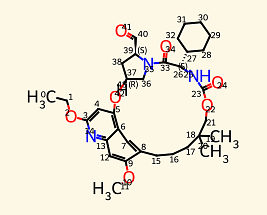 CCOc1cc2c3cc(c(OC)cc3n1)CCCC(C)(C)COC(=O)N[C@@H](C1CCCCC1)C(=O)N1C[C@@H](C[C@H]1C=O)O2